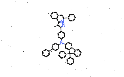 Cc1c(-c2ccc(N(c3ccc(-c4ccccc4)cc3)c3ccc4c(c3)C(c3ccccc3)(c3ccccc3)c3ccccc3-4)cc2)nn2c(-c3ccccc3)cc3ccccc3c12